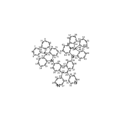 c1ccc([Si]2(c3ccccc3)c3ccccc3N(c3ccc4c(-c5ccncc5)c(-c5ccncc5)c5ccc(N6c7ccccc7[Si](c7ccccc7)(c7ccccc7)c7ccccc76)cc5c4c3)c3ccccc32)cc1